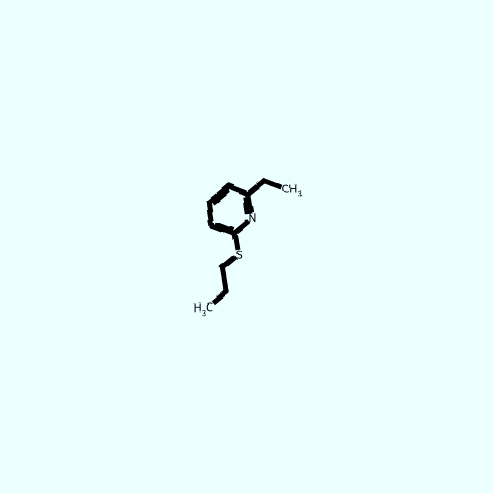 CCCSc1cccc(CC)n1